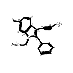 COCn1c(-c2ccccc2)c(C#CC(F)(F)F)c2ccc(C)cc21